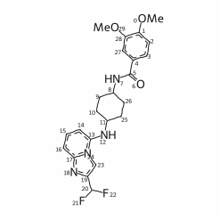 COc1ccc(C(=O)NC2CCC(Nc3cccc4nc(C(F)F)cn34)CC2)cc1OC